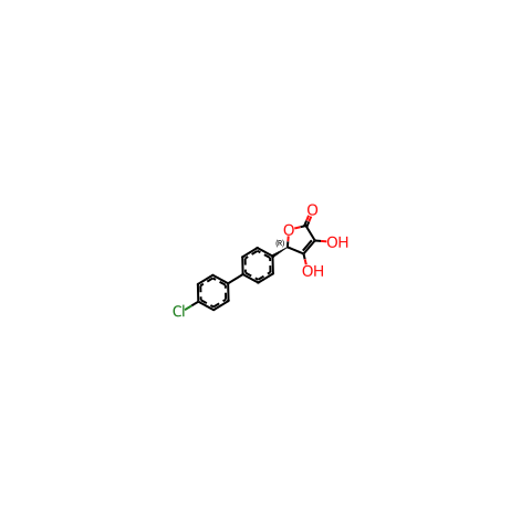 O=C1O[C@H](c2ccc(-c3ccc(Cl)cc3)cc2)C(O)=C1O